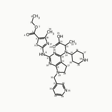 CCOC(=O)c1sc(Nc2nc3c(c(N(C4CCNCC4)C(C)C(=O)O)n2)CCN3Cc2cccnc2)nc1C